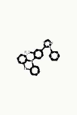 FC(F)(F)c1cc(-c2ncnn2-c2ccccc2)ccc1N1c2ccccc2Oc2ccccc21